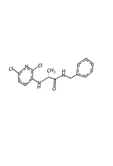 C[C@@H](Nc1ccc(Cl)nc1Cl)C(=O)NCc1ccccc1